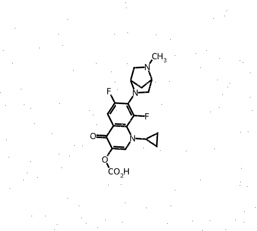 CN1CC2CC1CN2c1c(F)cc2c(=O)c(OC(=O)O)cn(C3CC3)c2c1F